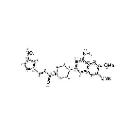 COc1cc2nc(N3CCN(C(=O)C=Cc4ccc([N+](=O)[O-])s4)CC3)nc(N)c2cc1OC